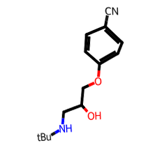 CC(C)(C)NCC(O)COc1ccc(C#N)cc1